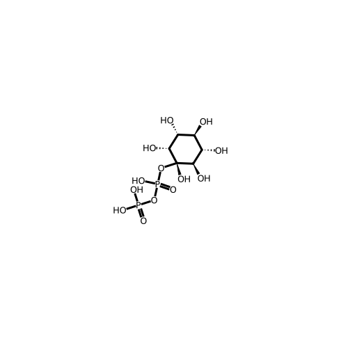 O=P(O)(O)OP(=O)(O)O[C@]1(O)[C@H](O)[C@H](O)[C@@H](O)[C@H](O)[C@H]1O